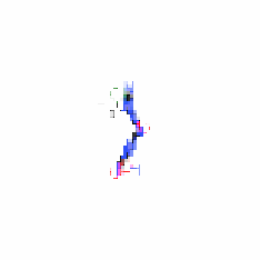 CC1CC2(CCN(c3ccc(C(=O)N4CCC5(CC4)CC(N4CCN(c6ccc(C7CCC(=O)NC7=O)cc6)CC4)C5)cc3)CC2)CN1c1ccc(C#N)c(Cl)c1